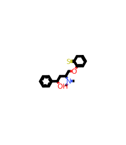 CN(C)C(COC1=CC=CCC1=S)CC(O)c1ccccc1